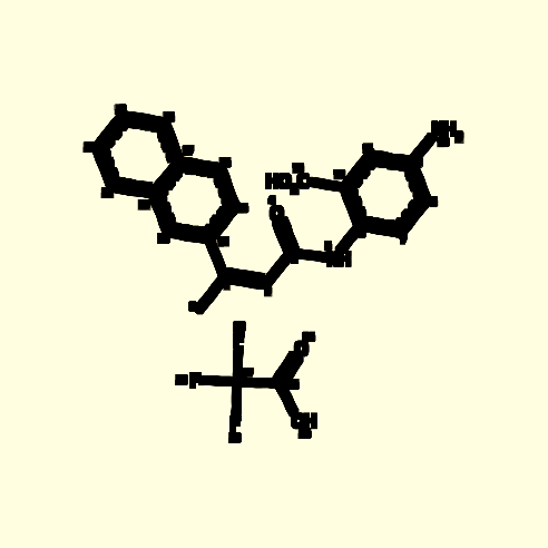 C/C(=C/C(=O)Nc1ccc(N)cc1C(=O)O)c1ccc2ccccc2c1.O=C(O)C(F)(F)F